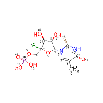 Cc1cn([C@@H]2O[C@](F)(COP(=O)(O)O)[C@@H](O)[C@H]2O)c(=S)[nH]c1=O